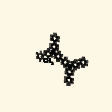 CC1CC=CC=C1c1ccc(N(c2ccc(C3=CC=C(N(c4ccc(-c5ccccc5)cc4)c4ccc(-c5ccccc5)cc4)CC3)cc2)c2ccc(-c3ccccc3)cc2)cc1